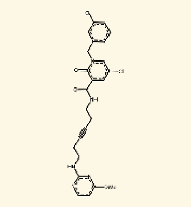 COc1ccnc(NCCC#CCCNC(=O)c2cc(Cl)cn(Cc3cccc(Cl)c3)c2=O)n1